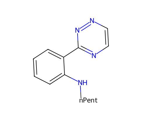 CCCCCNc1ccccc1-c1nccnn1